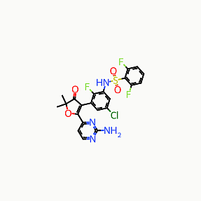 CC1(C)OC(c2ccnc(N)n2)=C(c2cc(Cl)cc(NS(=O)(=O)c3c(F)cccc3F)c2F)C1=O